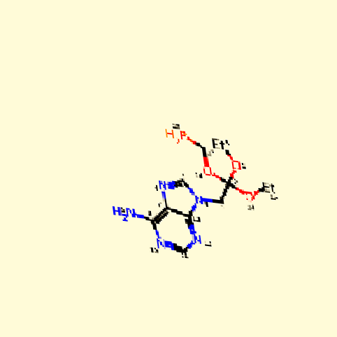 CCOC(Cn1cnc2c(N)ncnc21)(OCC)OCP